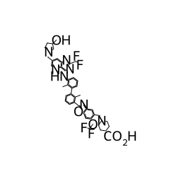 Cc1c(Nc2nc(C(F)F)nc3cc(CN4CCC(O)C4)cnc23)cccc1-c1cccc(-c2nc3cc(CN4CCC(C(=O)O)CC4)c(OC(F)F)cc3o2)c1C